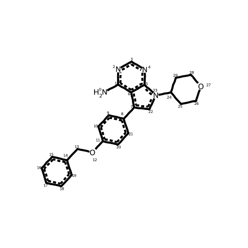 Nc1ncnc2c1c(-c1ccc(OCc3ccccc3)cc1)cn2C1CCOCC1